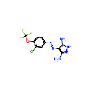 Nc1n[nH]c(N)c1N=Nc1ccc(OC(F)(F)F)c(Cl)c1